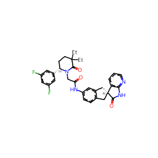 CCC1(CC)CC[C@@H](c2cc(F)cc(F)c2)N(CC(=O)Nc2ccc3c(c2)C[C@@]2(C3)C(=O)Nc3ncccc32)C1=O